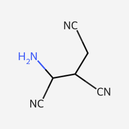 N#CCC(C#N)C(N)C#N